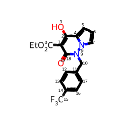 CCOC(=O)c1c(O)c2cccn2n(Cc2ccc(C(F)(F)F)cc2)c1=O